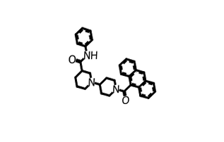 O=C(Nc1ccccc1)C1CCCN(C2CCN(C(=O)c3c4ccccc4cc4ccccc34)CC2)C1